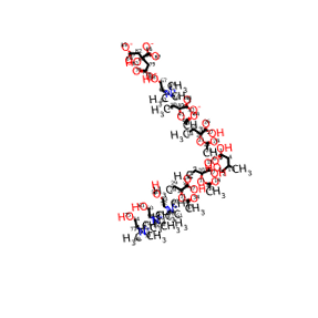 CC(CO)CC(=O)O.CCC(OC(C)=O)C(=O)O.CCC(OC(C)=O)C(=O)O.CCC(OC(C)=O)C(=O)O.CCC(OC(C)=O)C(=O)[O-].C[N+](C)(C)CCO.C[N+](C)(C)CCO.C[N+](C)(C)CCO.C[N+](C)(C)CCO.O=C([O-])CC(O)(CC(=O)[O-])C(=O)[O-]